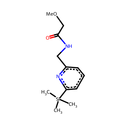 COCC(=O)NCc1cccc([Si](C)(C)C)n1